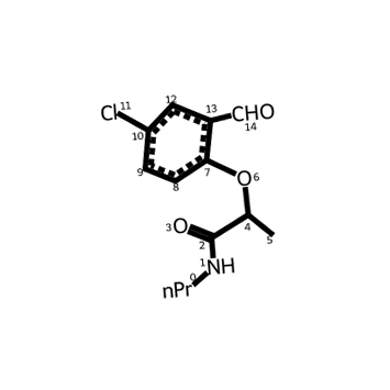 CCCNC(=O)C(C)Oc1ccc(Cl)cc1C=O